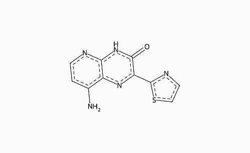 Nc1ccnc2[nH]c(=O)c(-c3nccs3)nc12